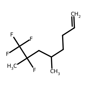 C=CCCC(C)CC(C)(F)C(F)(F)F